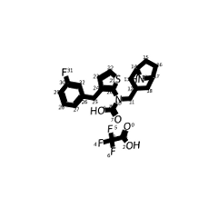 O=C(O)C(F)(F)F.O=C(O)N(CC1CC2CCC(C1)N2)c1sccc1Cc1cccc(F)c1